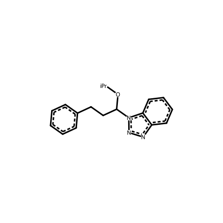 CC(C)OC(CCc1ccccc1)n1nnc2ccccc21